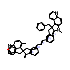 C=C(/C=C/C=C/C=C/C=C/C=C1/N(C)c2ccc3ncccc3c2C1(Cc1ccccc1)Cc1ccccc1)C(Cc1ccccc1)(Cc1ccccc1)c1c(C)ccc2ncccc12